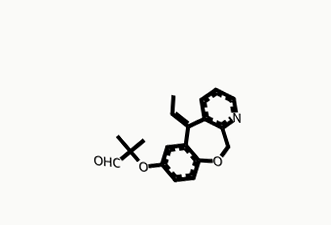 C/C=C1/c2cc(OC(C)(C)C=O)ccc2OCc2ncccc21